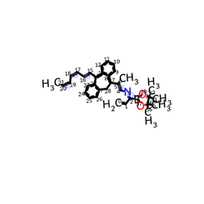 C=C/C(=N\C=C(/C)C1=c2ccccc2=C(/C=C/C=C\C=C/C)c2ccccc2C1)B1OC(C)(C)C(C)(C)O1